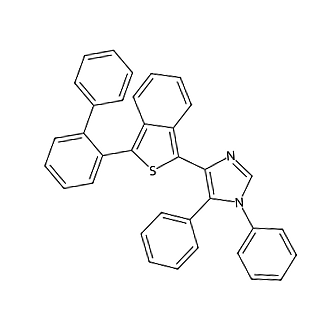 c1ccc(-c2ccccc2-c2sc(-c3ncn(-c4ccccc4)c3-c3ccccc3)c3ccccc23)cc1